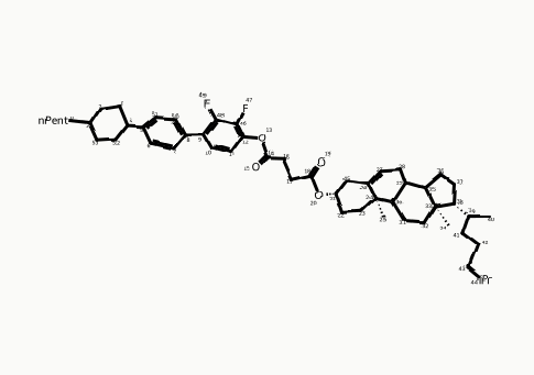 CCCCCC1CCC(c2ccc(-c3ccc(OC(=O)CCC(=O)O[C@H]4CC[C@@]5(C)C(=CCC6C5CC[C@@]5(C)C6CC[C@@H]5C(C)CCCC(C)C)C4)c(F)c3F)cc2)CC1